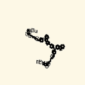 CCCCC(C)(C)OC(=O)OCCCCOCc1ccc(N(c2ccc(-c3ccc4c(c3)c3ccccc3n4-c3ccc(COCCCCOC(=O)OC(C)(C)CCCC)cc3)cc2)c2ccc3c(c2)C(C)(C)c2ccccc2-3)cc1